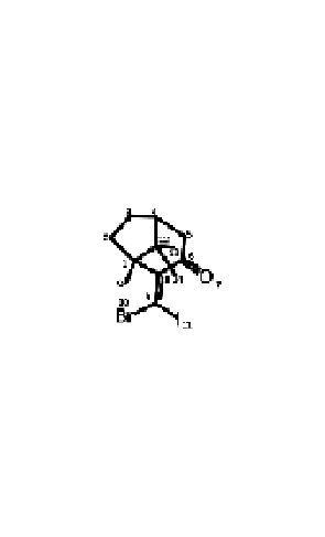 CC12CCC(CC(=O)/C1=C(/Br)I)C2(C)C